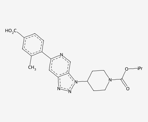 Cc1cc(C(=O)O)ccc1-c1cc2nnn(C3CCN(C(=O)OC(C)C)CC3)c2cn1